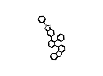 c1ccc(-c2c(-c3ccc4nn(-c5ccccc5)nc4c3)cccc2-c2cccc3oc4ccccc4c23)cc1